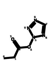 CCC(=O)On1ncnn1